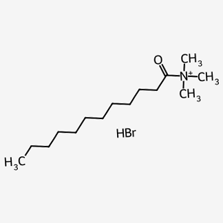 Br.CCCCCCCCCCCC(=O)[N+](C)(C)C